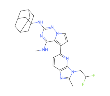 CNc1nc(NC23CC4CC(CC(C4)C2)C3)nn2ccc(-c3ccc4nc(C)n(CC(F)F)c4n3)c12